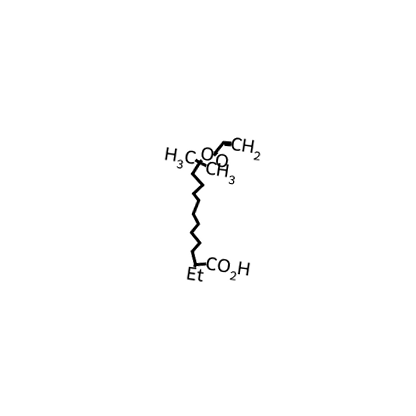 C=CC(=O)OC(C)(C)CCCCCCCCCC(CC)C(=O)O